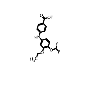 CCOc1cc(Nc2ccc(C(=O)O)cc2)ccc1OC(F)F